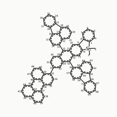 C[Si]1(C)c2ccccc2-c2cc3c(-c4ccc5c6c(cccc46)-c4ccccc4-5)c4ccc(-c5ccc6c7cccc8cccc(c9cccc5c96)c87)cc4c(-c4ccc5c6c(cccc46)-c4ccccc4-5)c3cc21